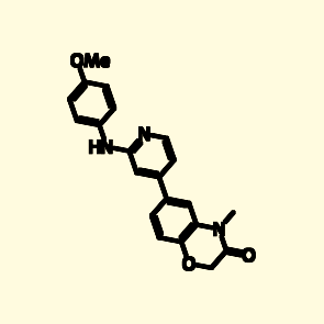 COc1ccc(Nc2cc(-c3ccc4c(c3)N(C)C(=O)CO4)ccn2)cc1